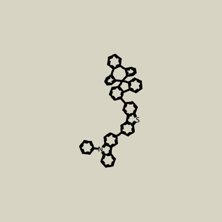 c1ccc(-n2c3ccccc3c3cc(-c4ccc5sc6ccc(-c7cccc8c7-c7ccccc7C87c8ccccc8-c8ccccc8-c8ccccc87)cc6c5c4)ccc32)cc1